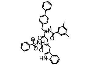 Cc1cc(C)cc(C(=O)N(C)[C@H](Cc2ccc(-c3ccccc3)cc2)C(=O)C[C@@H](Cc2c[nH]c3ccccc23)C(=O)NS(=O)(=O)c2ccccc2)c1